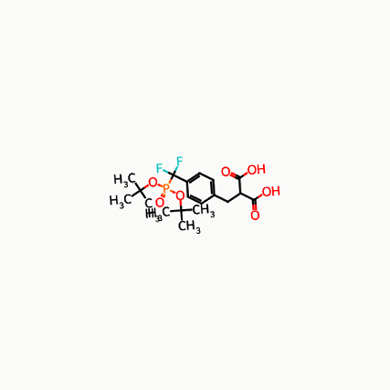 CC(C)(C)OP(=O)(OC(C)(C)C)C(F)(F)c1ccc(CC(C(=O)O)C(=O)O)cc1